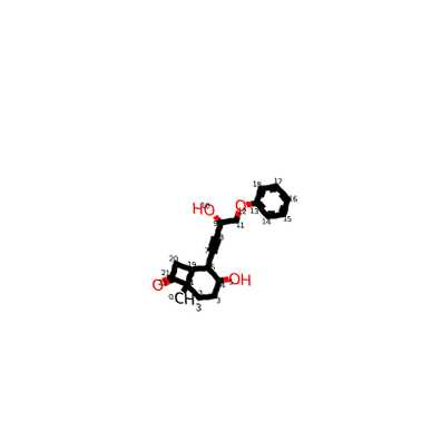 CC12CCC(O)C(C#CC(O)COc3ccccc3)C1CC2=O